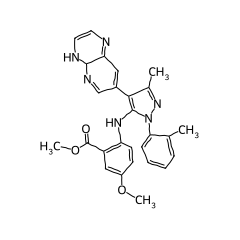 COC(=O)c1cc(OC)ccc1Nc1c(C2=CC3=NC=CNC3N=C2)c(C)nn1-c1ccccc1C